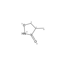 CC1CONC1=O